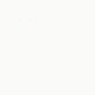 O=C(C=Cc1ccccc1)OCCCCCCO[Si](Cl)(Cl)Cl